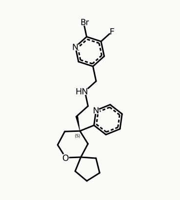 Fc1cc(CNCC[C@]2(c3ccccn3)CCOC3(CCCC3)C2)cnc1Br